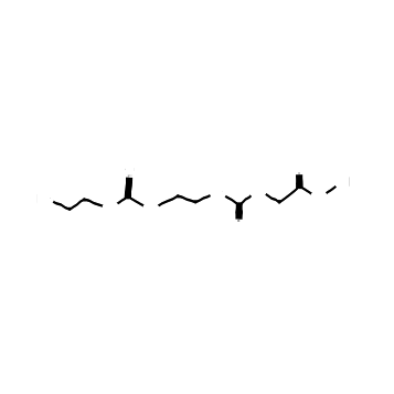 COC(=O)COC(=O)OCCOC(=O)OCCO